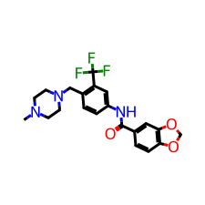 CN1CCN(Cc2ccc(NC(=O)c3ccc4c(c3)OCO4)cc2C(F)(F)F)CC1